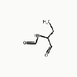 CCC(C=O)NC=O